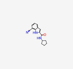 N#Cc1cccc2cc(C(=O)NC3CCCC3)[nH]c12